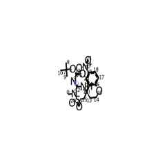 CN1/C(=N/C(=O)OC(C)(C)C)N[C@@]2(CCOc3ccc([N+](=O)[O-])cc32)CS1(=O)=O